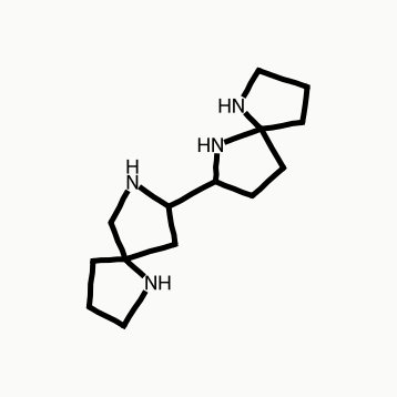 C1CNC2(C1)CNC(C1CCC3(CCCN3)N1)C2